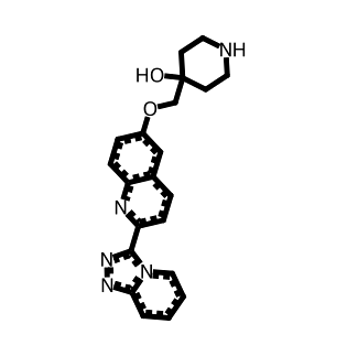 OC1(COc2ccc3nc(-c4nnc5ccccn45)ccc3c2)CCNCC1